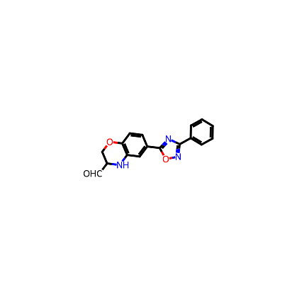 O=CC1COc2ccc(-c3nc(-c4ccccc4)no3)cc2N1